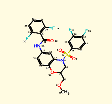 COCC1CN(S(=O)(=O)c2ccc(F)c(F)c2)c2cc(NC(=O)c3c(F)cccc3F)ccc2O1